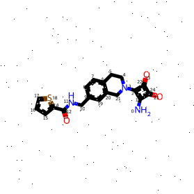 Nc1c(N2CCc3ccc(CNC(=O)c4cccs4)cc3C2)c(=O)c1=O